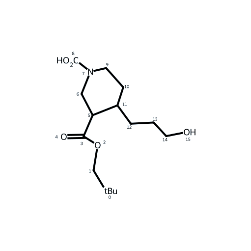 CC(C)(C)COC(=O)C1CN(C(=O)O)CCC1CCCO